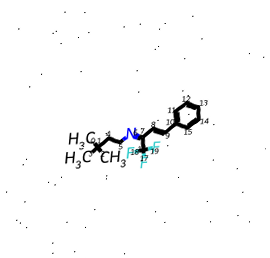 CC(C)(C)CC/N=C(/C=C/c1ccccc1)C(F)(F)F